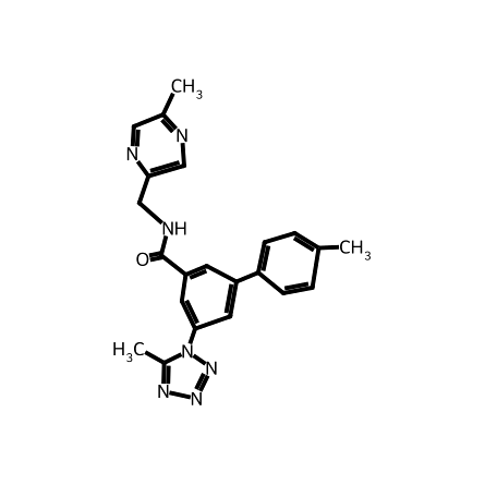 Cc1ccc(-c2cc(C(=O)NCc3cnc(C)cn3)cc(-n3nnnc3C)c2)cc1